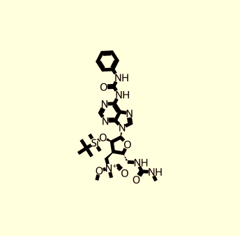 CNC(=O)NC[C@H]1O[C@@H](n2cnc3c(NC(=O)Nc4ccccc4)ncnc32)[C@H](O[Si](C)(C)C(C)(C)C)[C@@H]1C[N+](C)(C=O)OC